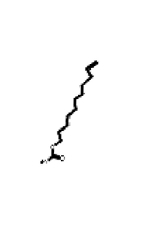 C=CCCCCCCCCCOC(=O)C(C)C